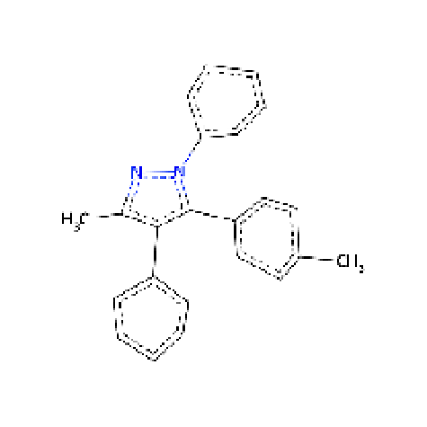 Cc1ccc(-c2c(-c3ccccc3)c(C)nn2-c2ccccc2)cc1